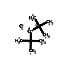 C[C](C)(C)[Cr+][C](C)(C)C.[Cl-]